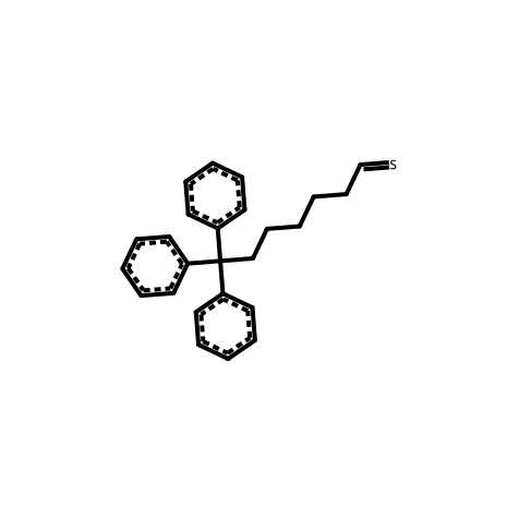 S=CCCCCCC(c1ccccc1)(c1ccccc1)c1ccccc1